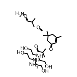 C=O.CC(C)C=O.CC(C)C=O.CC1=CC(=O)CC(C)(C)C1.N.N.OCCNCCO.OCCNCCO